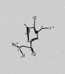 CCN(C(=O)c1ccc(Cl)c(Cl)c1)C(C)C